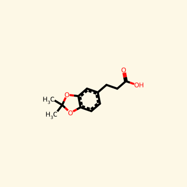 CC1(C)Oc2ccc(CCC(=O)O)cc2O1